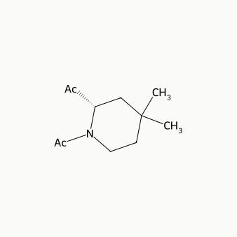 CC(=O)[C@@H]1CC(C)(C)CCN1C(C)=O